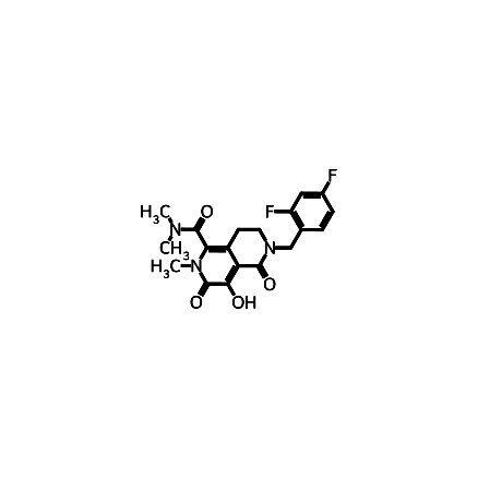 CN(C)C(=O)c1c2c(c(O)c(=O)n1C)C(=O)N(Cc1ccc(F)cc1F)CC2